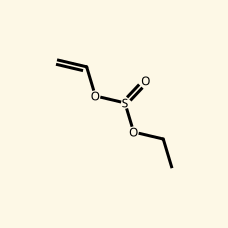 C=COS(=O)OCC